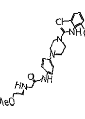 C=C(Nc1c(Cl)cccc1Cl)N1CCN(c2ccc(NC(=O)CNCCOC)cc2)CC1